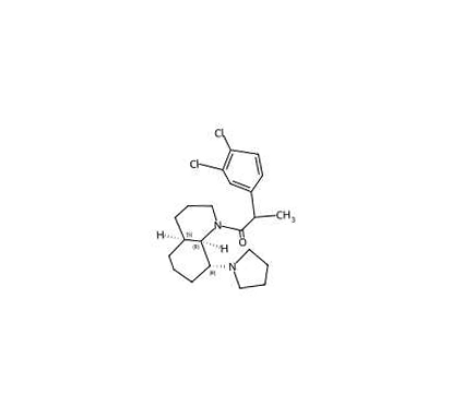 CC(C(=O)N1CCC[C@@H]2CCC[C@@H](N3CCCC3)[C@@H]21)c1ccc(Cl)c(Cl)c1